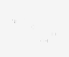 CCC(O)COC(C)C#N